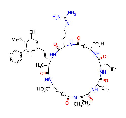 C=C1C(=O)N[C@H](C)C(=O)N[C@@H](CC(C)C)C(=O)N[C@@H](C(=O)O)CC(=O)N[C@@H](CCCN=C(N)N)C(=O)N[C@@H](/C=C/C(C)=C/[C@H](C)[C@H](Cc2ccccc2)OC)[C@H](C)C(=O)N[C@@H](C(=O)O)CCC(=O)N1C